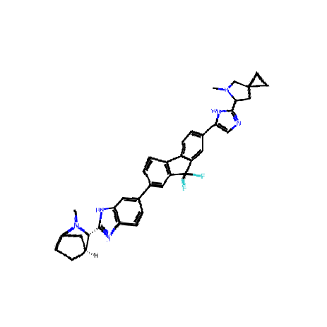 CN1CC2(CC2)CC1c1ncc(-c2ccc3c(c2)C(F)(F)c2cc(-c4ccc5nc([C@@H]6[C@H]7CCC(C7)N6C)[nH]c5c4)ccc2-3)[nH]1